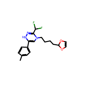 Cc1ccc(C2=CN(CCCCC3OC=CO3)C(C(F)F)=NN2)cc1